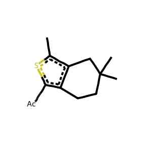 CC(=O)c1sc(C)c2c1CCC(C)(C)C2